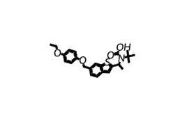 CCOc1ccc(OCc2ccc3cc(C(C)N(C(=O)O)C(C)(C)C)sc3c2)cc1